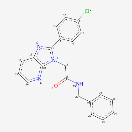 O=C(Cn1c(-c2ccc(Cl)cc2)nc2cccnc21)NCc1ccccc1